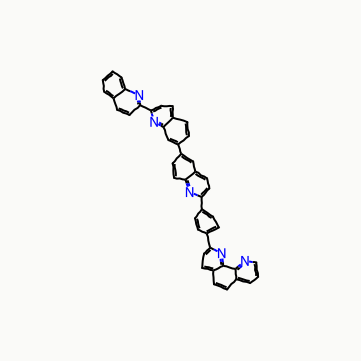 c1ccc2nc(-c3ccc4ccc(-c5ccc6nc(-c7ccc(-c8ccc9ccc%10cccnc%10c9n8)cc7)ccc6c5)cc4n3)ccc2c1